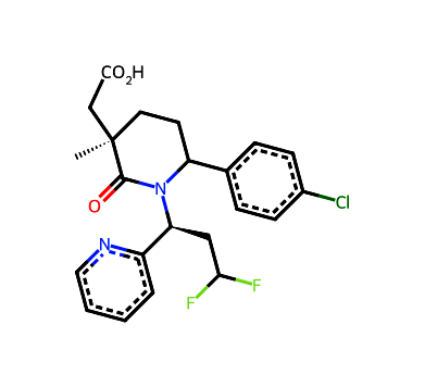 C[C@]1(CC(=O)O)CCC(c2ccc(Cl)cc2)N([C@@H](CC(F)F)c2ccccn2)C1=O